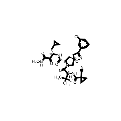 CNC(=O)C(=O)[C@H](CC1CC1)NC(=O)[C@@H]1C[C@]2(CC(c3cccc(Cl)c3)=NO2)CN1C(=O)[C@@H](NC(=O)C1(C#N)CC1)C(C)(C)C